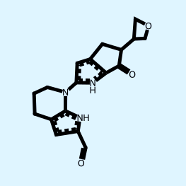 O=Cc1cc2c([nH]1)N(c1cc3c([nH]1)C(=O)C(C1COC1)C3)CCC2